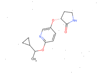 CC(Oc1ccc(O[C@@H]2CCNC2=O)cn1)C1CC1